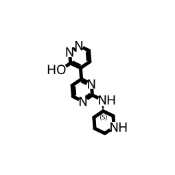 Oc1nnccc1-c1ccnc(N[C@H]2CCCNC2)n1